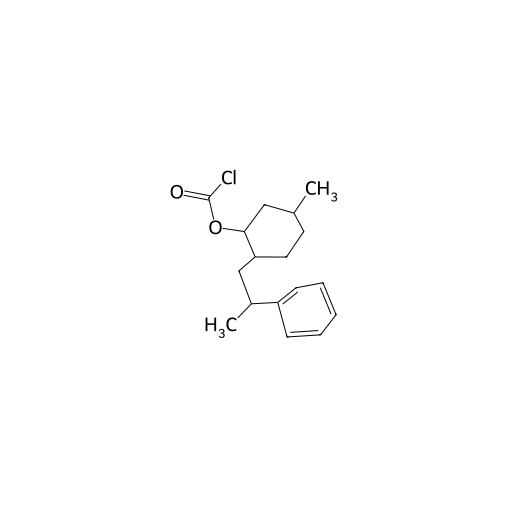 CC1CCC(CC(C)c2ccccc2)C(OC(=O)Cl)C1